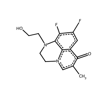 Cc1cn2c3c(c(F)c(F)cc3c1=O)N(CCO)CC2